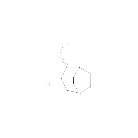 Cl.ON=C1CCN2CCC1CC2